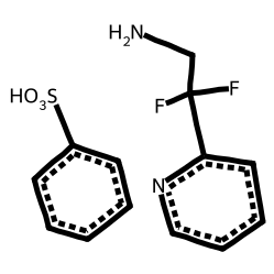 NCC(F)(F)c1ccccn1.O=S(=O)(O)c1ccccc1